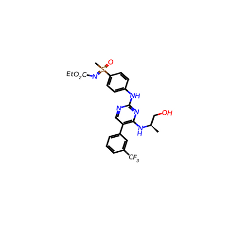 CCOC(=O)N=S(C)(=O)c1ccc(Nc2ncc(-c3cccc(C(F)(F)F)c3)c(N[C@H](C)CO)n2)cc1